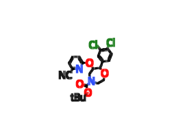 CC(C)(C)OC(=O)N1CCOC(c2ccc(Cl)c(Cl)c2)C(Oc2cccc(C#N)n2)C1